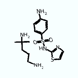 CC(C)(N)CCCN.Nc1ccc(S(=O)(=O)Nc2nccs2)cc1